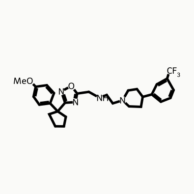 COc1ccc(C2(c3noc(CNCCN4CCC(c5cccc(C(F)(F)F)c5)CC4)n3)CCCC2)cc1